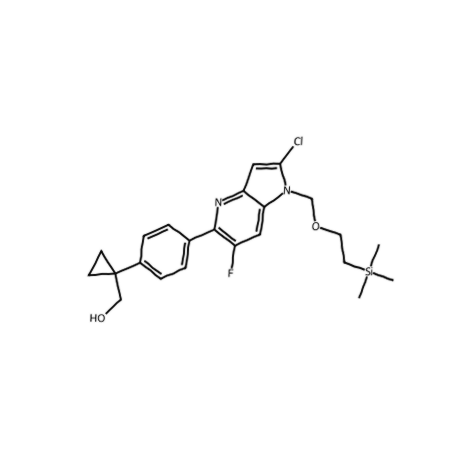 C[Si](C)(C)CCOCn1c(Cl)cc2nc(-c3ccc(C4(CO)CC4)cc3)c(F)cc21